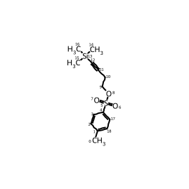 Cc1ccc(S(=O)(=O)OCCC#C[Si](C)(C)C)cc1